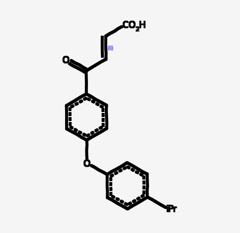 CC(C)c1ccc(Oc2ccc(C(=O)/C=C/C(=O)O)cc2)cc1